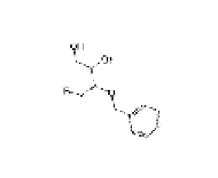 OCC(O)C(CF)OCc1ccccc1